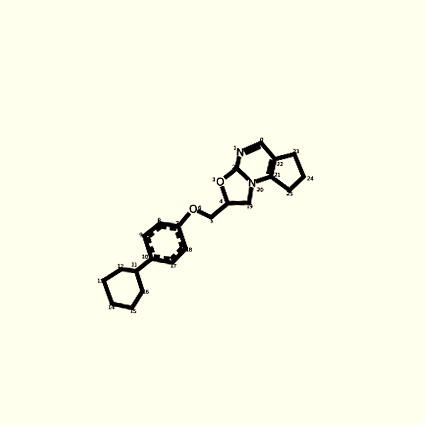 C1=NC2OC(COc3ccc(C4CCCCC4)cc3)CN2C2=C1CCC2